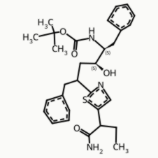 CCC(C(N)=O)c1cnc(C(Cc2ccccc2)C[C@H](O)[C@H](Cc2ccccc2)NC(=O)OC(C)(C)C)s1